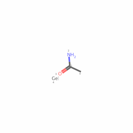 CC(N)=O.[Ge]